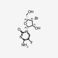 Nc1nc(=O)n([C@@H]2O[C@H](CO)[C@H](Br)[C@H]2O)cc1F